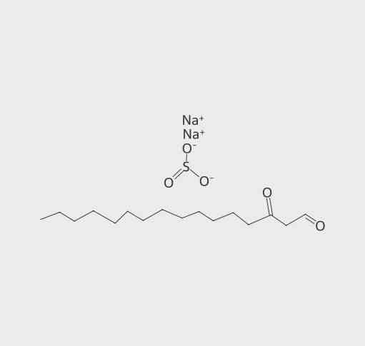 CCCCCCCCCCCCCC(=O)CC=O.O=S([O-])[O-].[Na+].[Na+]